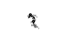 CN(Cc1ccccc1C(F)(F)F)[C@@H]1CCN(c2cc(F)c(/C=N/NC(N)=S)cc2F)C1